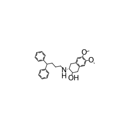 COc1cc2c(cc1OC)C[C@@H](NCCCC(c1ccccc1)c1ccccc1)[C@H](O)C2